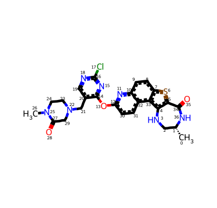 C[C@@H]1CNc2c(sc3ccc4nc(Oc5nc(Cl)ncc5CN5CCN(C)C(=O)C5)ccc4c23)C(=O)N1